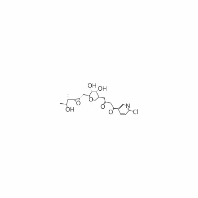 C[C@H]([C@@H]1O[C@H]1C[C@@H]1OC[C@H](CC(=O)CC(=O)c2ccc(Cl)nc2)[C@@H](O)[C@H]1O)[C@H](C)O